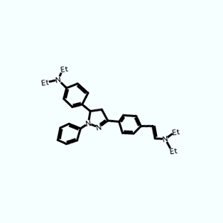 CCN(C=Cc1ccc(C2=NN(c3ccccc3)C(c3ccc(N(CC)CC)cc3)C2)cc1)CC